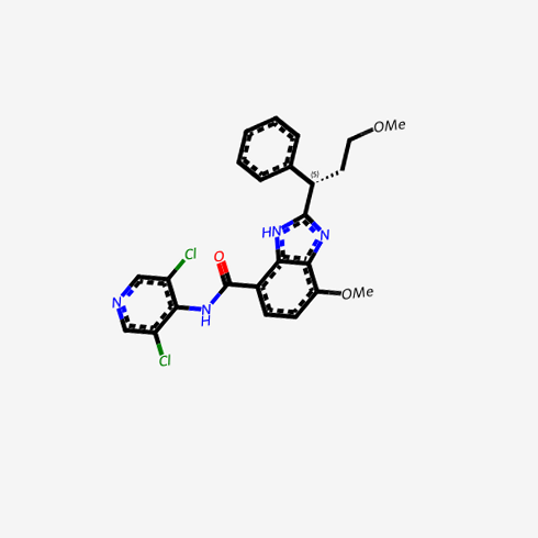 COCC[C@@H](c1ccccc1)c1nc2c(OC)ccc(C(=O)Nc3c(Cl)cncc3Cl)c2[nH]1